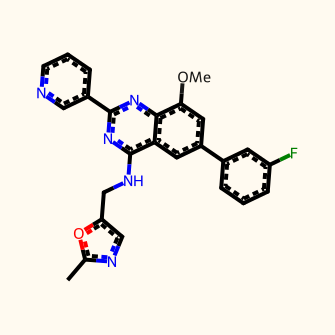 COc1cc(-c2cccc(F)c2)cc2c(NCc3cnc(C)o3)nc(-c3cccnc3)nc12